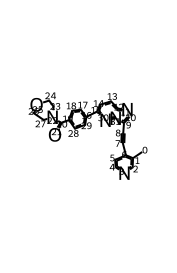 Cc1cnccc1C#Cc1cnc2ccc(-c3ccc(C(=O)N4CCOCC4)cc3)nn12